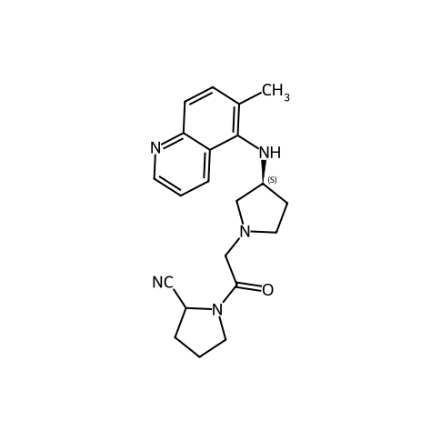 Cc1ccc2ncccc2c1N[C@H]1CCN(CC(=O)N2CCCC2C#N)C1